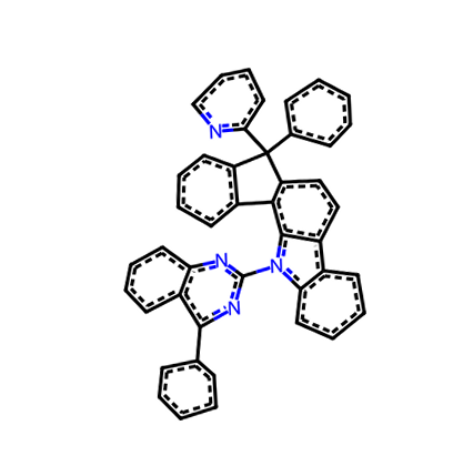 c1ccc(-c2nc(-n3c4ccccc4c4ccc5c(c43)-c3ccccc3C5(c3ccccc3)c3ccccn3)nc3ccccc23)cc1